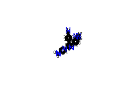 CN(C)C1CCN(c2cnc(-c3ccc4cn(C)nc4c3)c(-c3ccc(C#N)cc3)c2)CC1